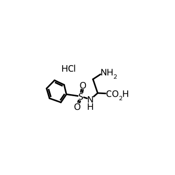 Cl.NCC(NS(=O)(=O)c1ccccc1)C(=O)O